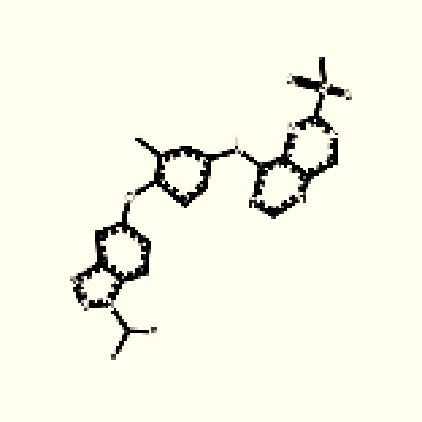 Cc1cc(Nc2ncnc3cnc(S(C)(=O)=O)nc23)ccc1Oc1ccc2c(c1)nnn2C(F)F